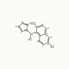 Clc1cnc2c(C(Cl)n3cncn3)c(Cl)ccc2c1